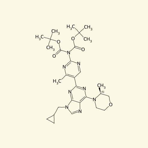 Cc1nc(N(C(=O)OC(C)(C)C)C(=O)OC(C)(C)C)ncc1-c1nc(N2CCOC[C@@H]2C)c2ncn(CC3CC3)c2n1